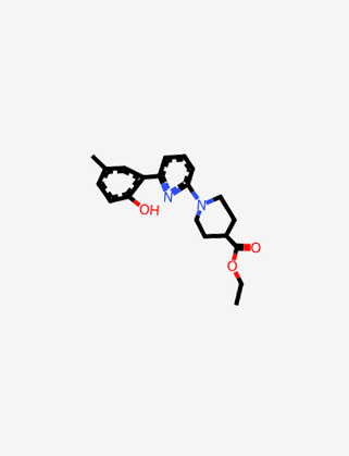 CCOC(=O)C1CCN(c2cccc(-c3cc(C)ccc3O)n2)CC1